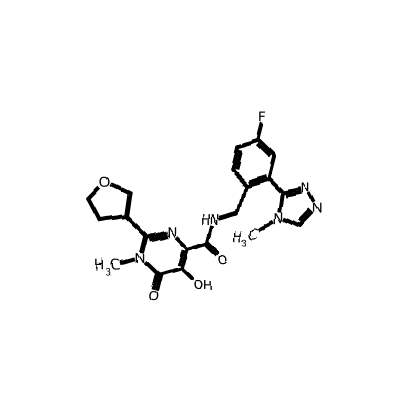 Cn1cnnc1-c1cc(F)ccc1CNC(=O)c1nc(C2CCOC2)n(C)c(=O)c1O